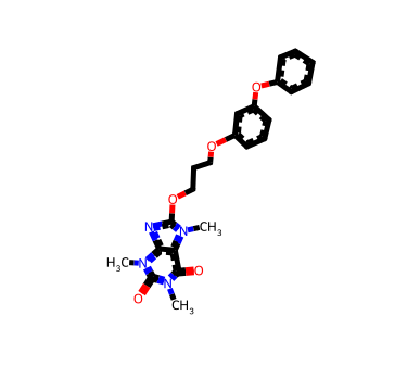 Cn1c(=O)c2c(nc(OCCCOc3cccc(Oc4ccccc4)c3)n2C)n(C)c1=O